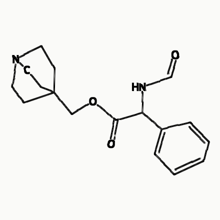 O=CNC(C(=O)OCC12CCN(CC1)CC2)c1ccccc1